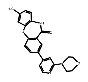 Cc1ccc2c(c1)Oc1ccc(-c3ccnc(N4CCOCC4)c3)cc1C(=O)N2